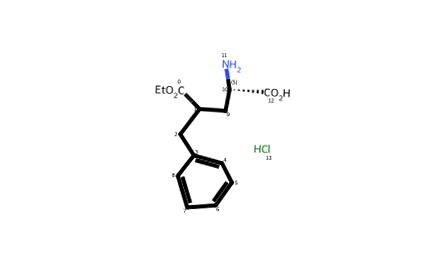 CCOC(=O)C(Cc1ccccc1)C[C@H](N)C(=O)O.Cl